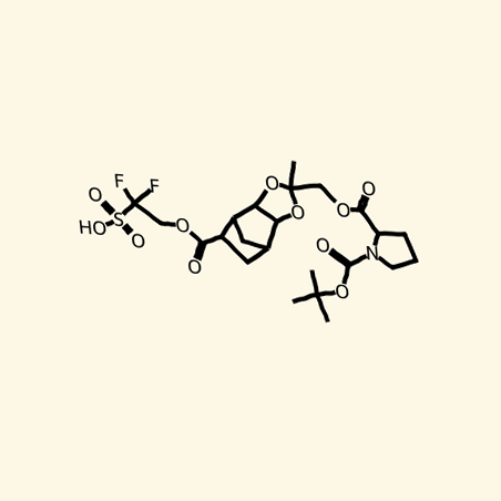 CC(C)(C)OC(=O)N1CCCC1C(=O)OCC1(C)OC2C3CC(C(=O)OCC(F)(F)S(=O)(=O)O)C(C3)C2O1